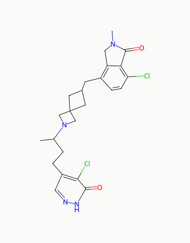 CC(CCc1cn[nH]c(=O)c1Cl)N1CC2(CC(Cc3ccc(Cl)c4c3CN(C)C4=O)C2)C1